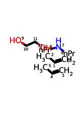 C=CC.C=CC.CCCNCCC.OCCO